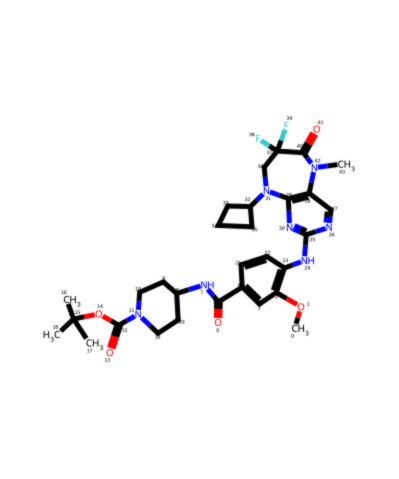 COc1cc(C(=O)NC2CCN(C(=O)OC(C)(C)C)CC2)ccc1Nc1ncc2c(n1)N(C1CCC1)CC(F)(F)C(=O)N2C